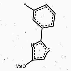 COc1csc(-c2cccc(F)c2)n1